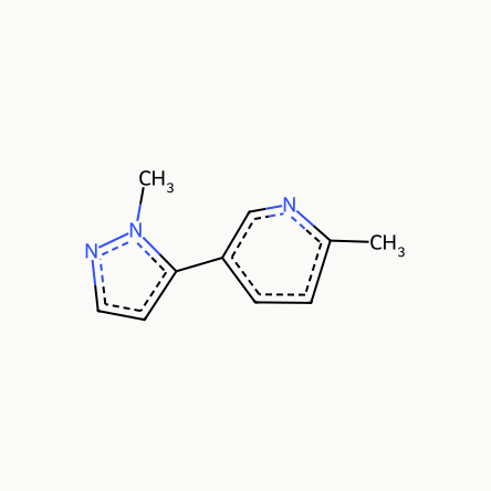 Cc1ccc(-c2ccnn2C)cn1